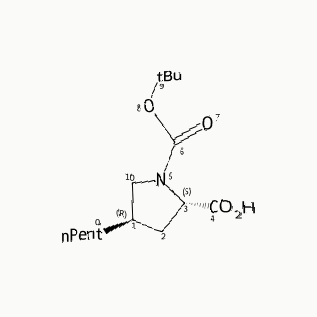 CCCCC[C@@H]1C[C@@H](C(=O)O)N(C(=O)OC(C)(C)C)C1